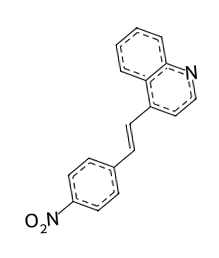 O=[N+]([O-])c1ccc(C=Cc2ccnc3ccccc23)cc1